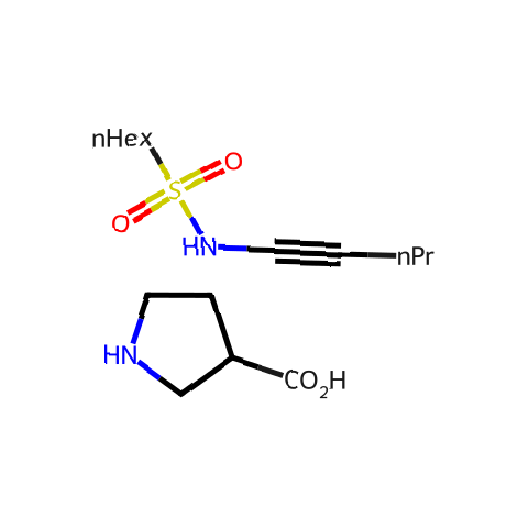 CCCC#CNS(=O)(=O)CCCCCC.O=C(O)C1CCNC1